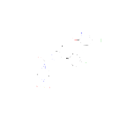 CS(=O)(=O)N1CCN(C(=O)N2C[C@@H](CCOc3ccc(Cl)cn3)[C@@H](c3ccc(Cl)c(Cl)c3)C2)CC1